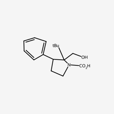 CC(C)(C)C1(CO)C(c2ccccc2)CCN1C(=O)O